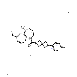 C=C/C=C\C(=N/C)N1CC2(CN(C(=O)N3CCC[S+]([O-])C4=C3CC=CC(CC)=C4)C2)C1